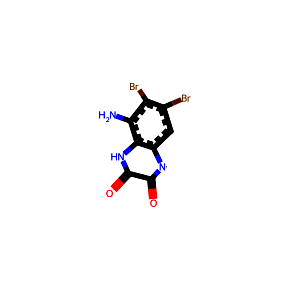 Nc1c(Br)c(Br)cc2c1NC(=O)C(=O)[N]2